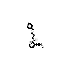 Nc1cccnc1NCCCOc1ccccc1